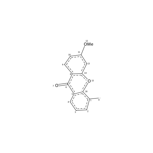 [CH2]c1cccc2c(=O)c3ccc(OC)cc3oc12